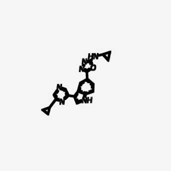 c1cc2[nH]cc(-c3cncc(C4CC4)n3)c2cc1-c1nnc(NC2CC2)o1